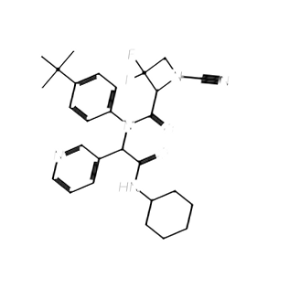 CC(C)(C)c1ccc(N(C(=O)C2N(C#N)CC2(F)F)C(C(=O)NC2CCCCC2)c2cccnc2)cc1